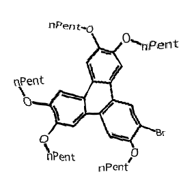 CCCCCOc1cc2c(cc1Br)c1cc(OCCCCC)c(OCCCCC)cc1c1cc(OCCCCC)c(OCCCCC)cc21